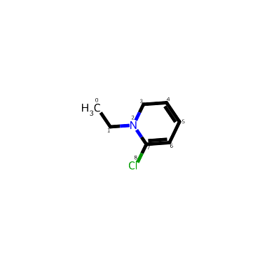 CCN1CC=CC=C1Cl